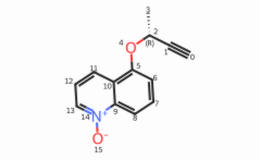 C#C[C@@H](C)Oc1cccc2c1ccc[n+]2[O-]